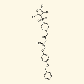 O=S(=O)(c1c(Cl)sc(Cl)c1Br)N1CCC(CNC[C@H](O)COc2ccc(OCc3ccccc3)cc2)CC1